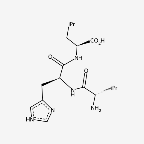 CC(C)C[C@H](NC(=O)[C@H](Cc1c[nH]cn1)NC(=O)[C@@H](N)C(C)C)C(=O)O